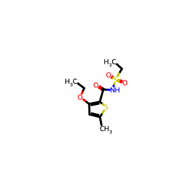 CCOc1cc(C)sc1C(=O)NS(=O)(=O)CC